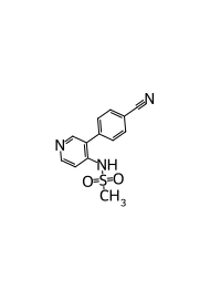 CS(=O)(=O)Nc1ccncc1-c1ccc(C#N)cc1